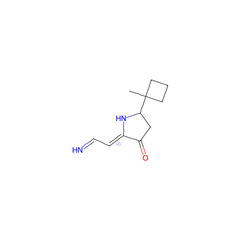 CC1(C2CC(=O)/C(=C/C=N)N2)CCC1